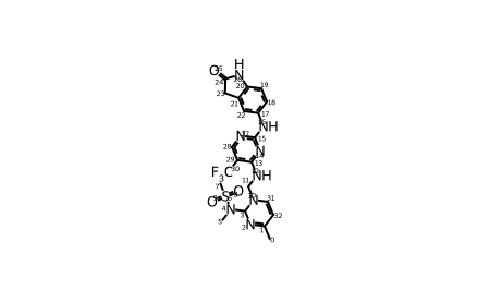 CC1=NC(N(C)S(C)(=O)=O)N(CNc2nc(Nc3ccc4c(c3)CC(=O)N4)ncc2C(F)(F)F)C=C1